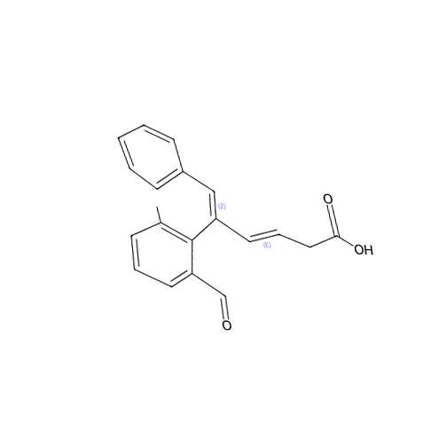 Cc1cccc(C=O)c1C(=C\c1ccccc1)/C=C/CC(=O)O